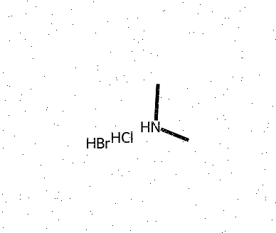 Br.CNC.Cl